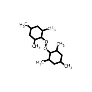 CC1CC(C)C(OOC2C(C)CC(C)CC2C)C(C)C1